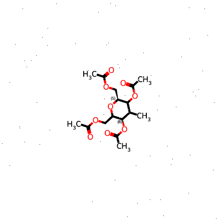 CC(=O)OCC1O[C@@H](COC(C)=O)C(OC(C)=O)C(C)[C@H]1OC(C)=O